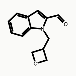 O=Cc1cc2ccccc2n1CC1COC1